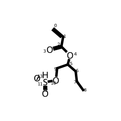 C=CC(=O)OC(CCC)CO[SH](=O)=O